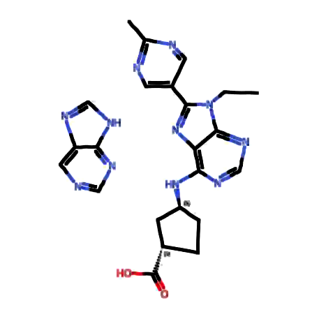 CCn1c(-c2cnc(C)nc2)nc2c(N[C@H]3CC[C@H](C(=O)O)C3)ncnc21.c1ncc2nc[nH]c2n1